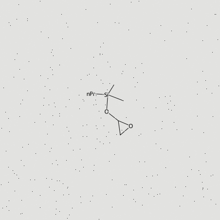 CCC[Si](C)(C)OC1CO1